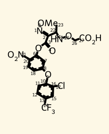 CON=C(C(=O)Oc1cc(Oc2ccc(C(F)(F)F)cc2Cl)ccc1[N+](=O)[O-])C(C)NOCC(=O)O